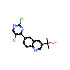 CC(C)(O)c1cnc2ccc(-c3nc(Cl)ncc3Cl)cc2c1